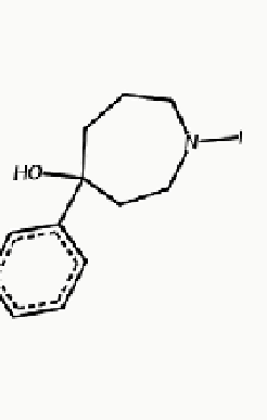 OC1(c2ccccc2)CCCN(I)CC1